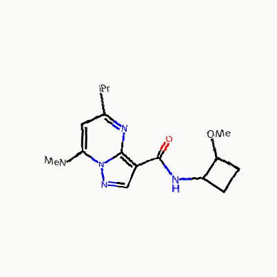 CNc1cc(C(C)C)nc2c(C(=O)NC3CCC3OC)cnn12